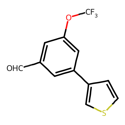 O=Cc1cc(OC(F)(F)F)cc(-c2ccsc2)c1